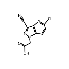 N#Cc1nn(CC(=O)O)c2ccc(Cl)nc12